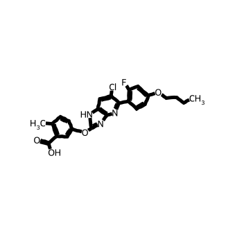 CCCCOc1ccc(-c2nc3nc(Oc4ccc(C)c(C(=O)O)c4)[nH]c3cc2Cl)c(F)c1